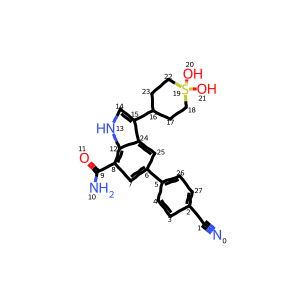 N#Cc1ccc(-c2cc(C(N)=O)c3[nH]cc(C4CCS(O)(O)CC4)c3c2)cc1